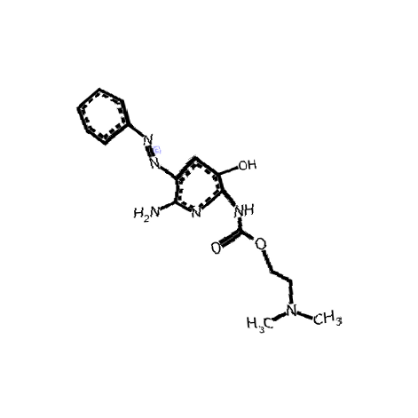 CN(C)CCOC(=O)Nc1nc(N)c(/N=N/c2ccccc2)cc1O